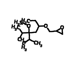 CCC(CC(O[SiH3])(C(C)C)C(C)C)OCC1CO1